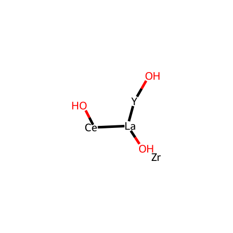 [OH][Y][La]([OH])[Ce][OH].[Zr]